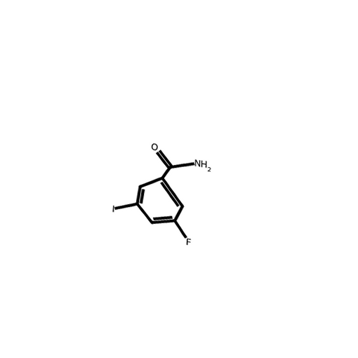 NC(=O)c1cc(F)cc(I)c1